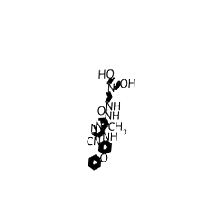 Cc1c(NC(=O)NCCCN(CCO)CCO)cn2ncc(C#N)c(Nc3ccc(Oc4ccccc4)cc3)c12